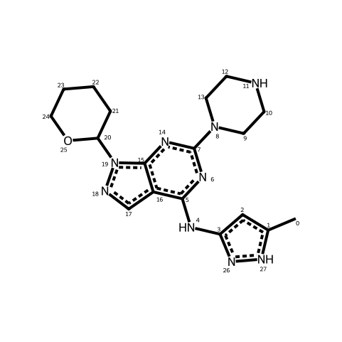 Cc1cc(Nc2nc(N3CCNCC3)nc3c2cnn3C2CCCCO2)n[nH]1